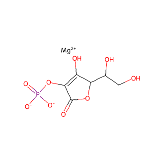 O=C1OC(C(O)CO)C(O)=C1OP(=O)([O-])[O-].[Mg+2]